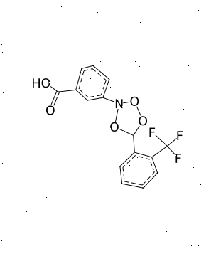 O=C(O)c1cccc(N2OOC(c3ccccc3C(F)(F)F)O2)c1